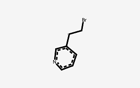 BrC[CH]c1cccnc1